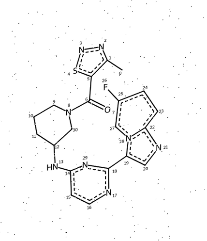 Cc1nnsc1C(=O)N1CCCC(Nc2ccnc(-c3cnc4ccc(F)cn34)n2)C1